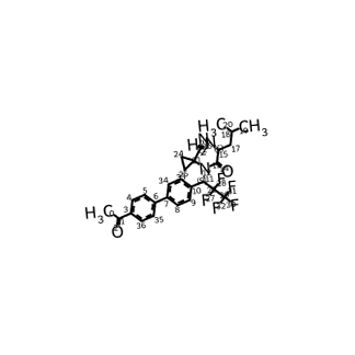 CC(=O)c1ccc(-c2ccc([C@H](N(C(=O)[C@@H](N)CC(C)C)C3(C#N)CC3)C(F)(F)C(F)(F)F)cc2)cc1